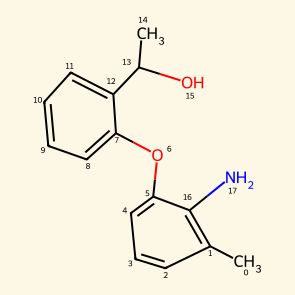 Cc1cccc(Oc2ccccc2C(C)O)c1N